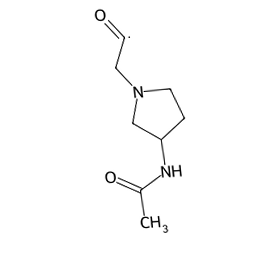 CC(=O)NC1CCN(C[C]=O)C1